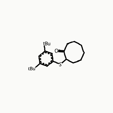 CC(C)(C)c1cc(SC2CCCCCCC2=O)cc(C(C)(C)C)c1